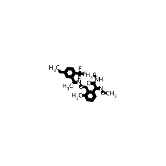 CCc1ccc(C(F)(F)F)c(/C(C)=N/OCc2c(C)cccc2/C(=N\OC)C(=O)NC)c1